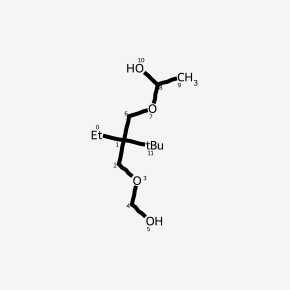 CCC(COCO)(COC(C)O)C(C)(C)C